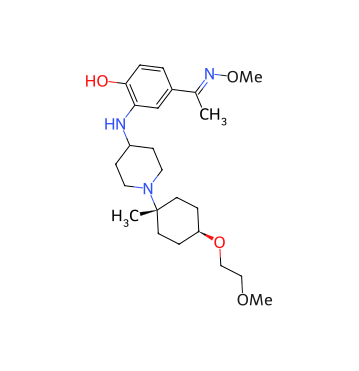 COCCO[C@H]1CC[C@](C)(N2CCC(Nc3cc(/C(C)=N/OC)ccc3O)CC2)CC1